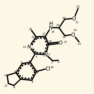 CCn1c(-c2cc3c(cc2Cl)CCC3)nc(C)c(NC(COC)COC)c1=O